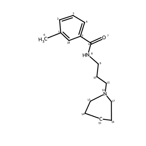 Cc1cccc(C(=O)NCCCN2CCCCC2)c1